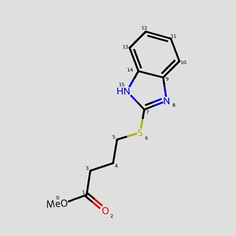 COC(=O)CCCSc1nc2ccccc2[nH]1